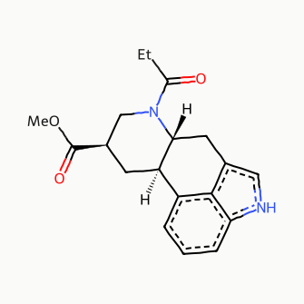 CCC(=O)N1C[C@H](C(=O)OC)C[C@@H]2c3cccc4[nH]cc(c34)C[C@H]21